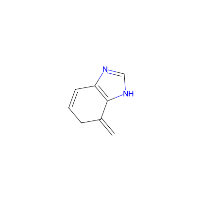 C=C1CC=Cc2nc[nH]c21